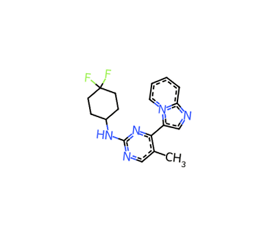 Cc1cnc(NC2CCC(F)(F)CC2)nc1-c1cnc2ccccn12